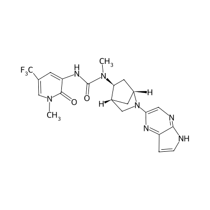 CN(C(=O)Nc1cc(C(F)(F)F)cn(C)c1=O)[C@H]1C[C@H]2C[C@@H]1CN2c1cnc2[nH]ccc2n1